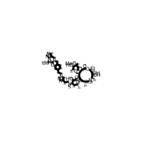 CC[C@H]1OC(=O)[C@H](C)C([C@H]2C[C@@](C)(OC)[C@@H](O)[C@H](C)O2)[C@H](C)[C@@H](O[C@@H]2O[C@H](C)C[C@H](N(C)CCc3cn(CCc4ccc(CN(Cc5cnn[nH]5)C(=O)OC(C)(C)C)cc4)nn3)[C@H]2O)[C@](C)(O)C[C@@H](C)CN(C)[C@H](C)[C@@H](O)[C@]1(C)O